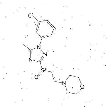 Cc1nc([S+]([O-])CCN2CCOCC2)nn1-c1cccc(Cl)c1